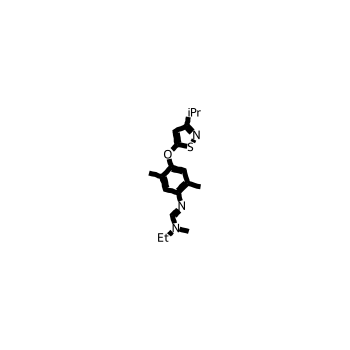 CCN(C)C=Nc1cc(C)c(Oc2cc(C(C)C)ns2)cc1C